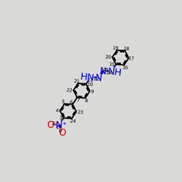 O=[N+]([O-])c1ccc(-c2ccc(NN=NNc3ccccc3)cc2)cc1